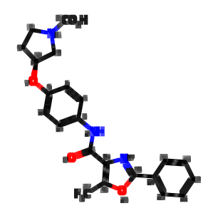 O=C(Nc1ccc(O[C@H]2CCN(C(=O)O)C2)cc1)c1nc(-c2ccccc2)oc1C(F)(F)F